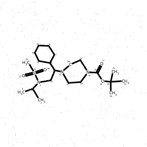 CC(C)N(CC(C1CCCCC1)N1CCN(C(=O)OC(C)(C)C)CC1)S(C)(=O)=O